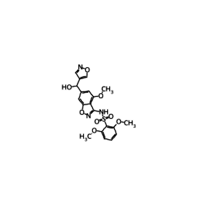 COc1cccc(OC)c1S(=O)(=O)Nc1noc2cc(C(O)c3cnoc3)cc(OC)c12